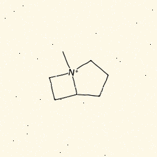 C[N+]12CCCC1CC2